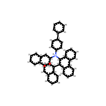 c1ccc(-c2ccc(N(c3ccc4ccccc4c3)c3c(-c4cccc5ccccc45)c4ccccc4c4ccccc34)cc2)cc1